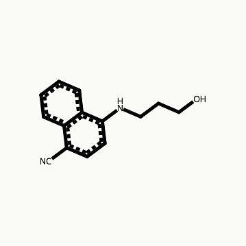 N#Cc1ccc(NCCCO)c2ccccc12